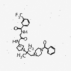 CC(C)(CN1CCN(C(=O)c2ccccc2)CC1)N1CC[C@@H](NC(=O)CNC(=O)c2cccc(C(F)(F)F)c2)C1